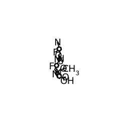 COCCn1c(Cc2ccc(-c3nc(OCc4ccc(C#N)cc4F)ns3)cc2F)nc2ccc(C(=O)O)cc21